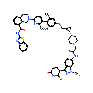 Cc1cc(OC[C@H]2C[C@@H]2C2CCN(CC(=O)Nc3ccc4c(C5CCC(=O)NC5=O)nn(C)c4c3)CC2)ccc1-c1ccc(N2CCc3cccc(C(=O)Nc4nc5ccccc5s4)c3C2)nc1C(=O)O